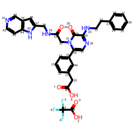 O=C(O)C(F)(F)F.O=C(O)Cc1cccc(-c2cnc(NCCc3ccccc3)c(=O)n2CC(=O)NCc2cc3cnccc3[nH]2)c1